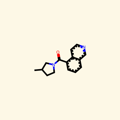 CC1CCN(C(=O)c2cccc3cnccc23)C1